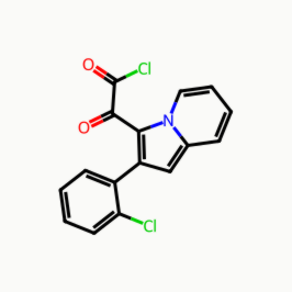 O=C(Cl)C(=O)c1c(-c2ccccc2Cl)cc2ccccn12